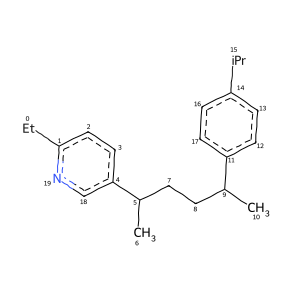 CCc1ccc(C(C)CCC(C)c2ccc(C(C)C)cc2)cn1